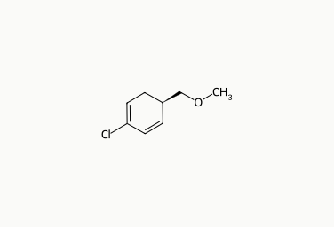 COC[C@H]1C=CC(Cl)=CC1